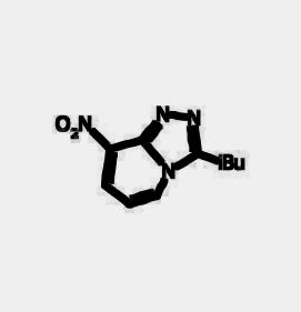 CCC(C)c1nnc2c([N+](=O)[O-])cccn12